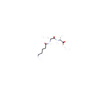 COC(=O)[C@H](C)NC(=O)[C@H](C)NC(=O)CCCCN